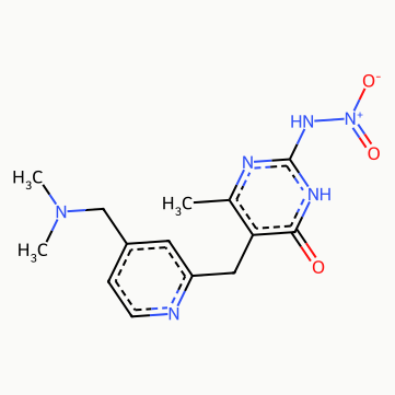 Cc1nc(N[N+](=O)[O-])[nH]c(=O)c1Cc1cc(CN(C)C)ccn1